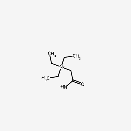 CC[N+](CC)(CC)CC([NH])=O